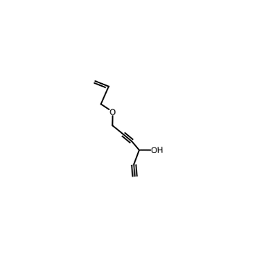 C#CC(O)C#CCOCC=C